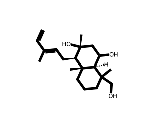 C=C/C(C)=C/C[C@@H]1[C@@]2(C)CCCC(C)(CO)[C@@H]2C(O)C[C@@]1(C)O